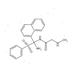 CNCC(=O)NC(N)(c1cccc2ccccc12)S(=O)(=O)c1ccccc1